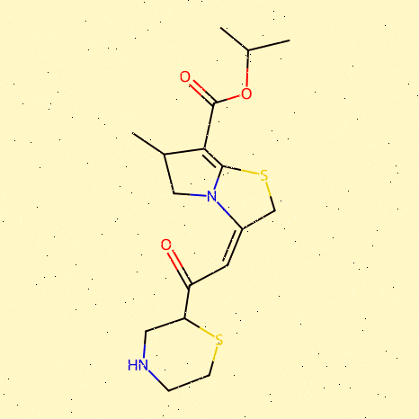 CC(C)OC(=O)C1=C2SCC(=CC(=O)C3CNCCS3)N2CC1C